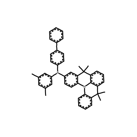 Cc1cc(C)cc(N(c2ccc(-c3ccccc3)cc2)c2ccc3c(c2)C(C)(C)c2cccc4c2N3c2ccccc2C4(C)C)c1